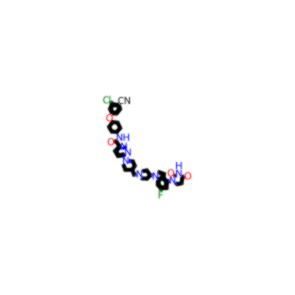 N#Cc1ccc(O[C@H]2CC[C@H](NC(=O)c3ccc(N4CCC(CN5CCC(n6ccc7c(N8CCC(=O)NC8=O)cc(F)cc76)CC5)CC4)nn3)CC2)cc1Cl